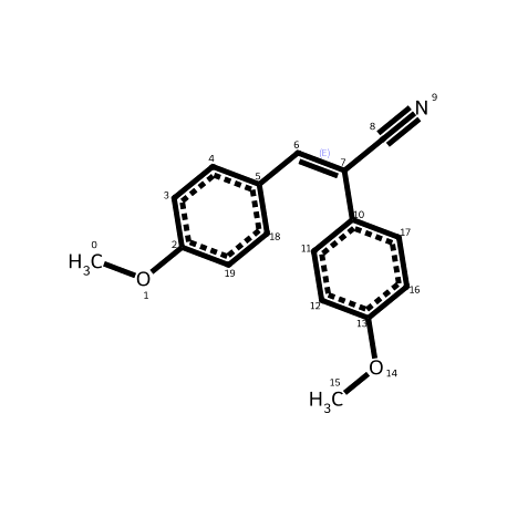 COc1ccc(/C=C(/C#N)c2ccc(OC)cc2)cc1